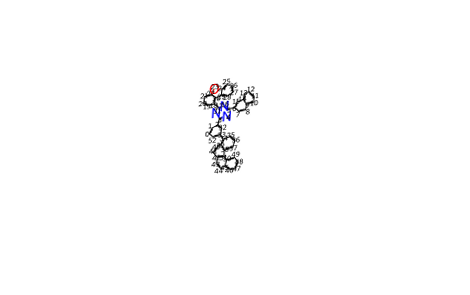 c1cc(-c2nc(-c3ccc4ccccc4c3)nc(-c3cccc4oc5ccccc5c34)n2)cc(-c2cccc3c2ccc2ccc4ccccc4c23)c1